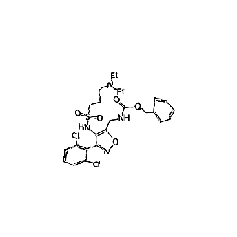 CCN(CC)CCCS(=O)(=O)Nc1c(-c2c(Cl)cccc2Cl)noc1CNC(=O)OCc1ccccc1